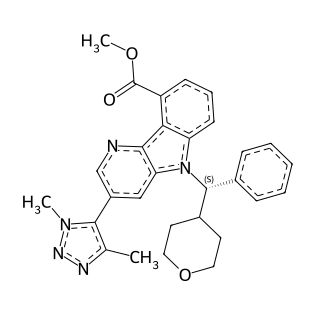 COC(=O)c1cccc2c1c1ncc(-c3c(C)nnn3C)cc1n2[C@H](c1ccccc1)C1CCOCC1